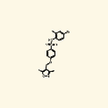 Cc1cc(Br)ccc1NS(=O)(=O)c1ccc(OCc2c(C)noc2C)cc1